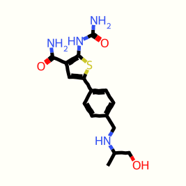 CC(CO)NCc1ccc(-c2cc(C(N)=O)c(NC(N)=O)s2)cc1